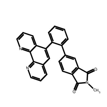 CN1C(=O)c2ccc(-c3ccccc3-c3cc4cccnc4c4ncccc34)cc2C1=O